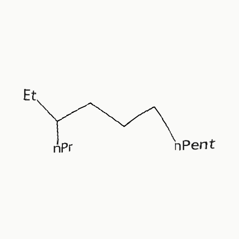 [CH2]CC(CCC)CCCCCCCC